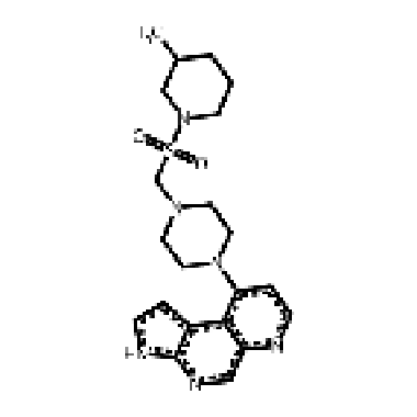 CC1CCCN(S(=O)(=O)CN2CCN(c3ccnc4cnc5[nH]ccc5c34)CC2)C1